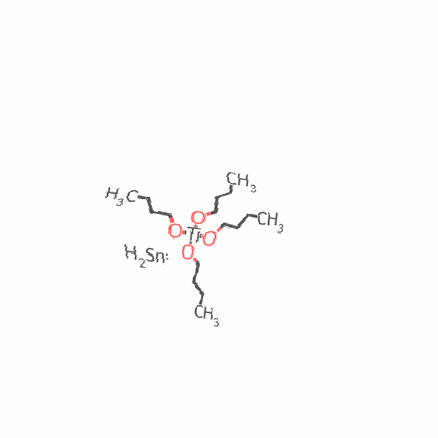 CCCC[O][Ti]([O]CCCC)([O]CCCC)[O]CCCC.[SnH2]